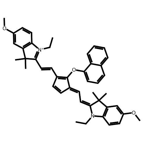 CCN1/C(=C/C=C2\C=CC(/C=C/C3=[N+](CC)c4ccc(OC)cc4C3(C)C)=C2Oc2cccc3ccccc23)C(C)(C)c2cc(OC)ccc21